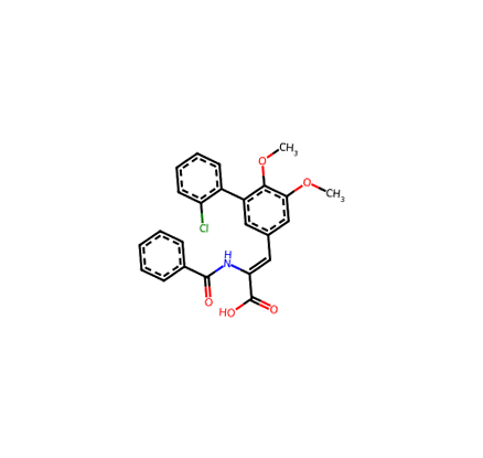 COc1cc(C=C(NC(=O)c2ccccc2)C(=O)O)cc(-c2ccccc2Cl)c1OC